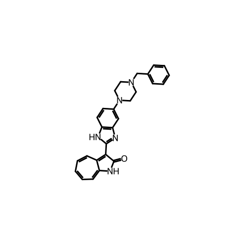 O=c1[nH]c2cccccc-2c1-c1nc2cc(N3CCN(Cc4ccccc4)CC3)ccc2[nH]1